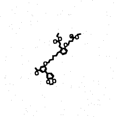 CCOC(=O)CCCOc1cccc(CCCCCCOc2cc(C(C)=O)cc(-c3ccc4c(c3)OCCO4)c2)c1CCC(=O)OCC